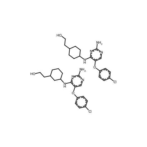 Nc1ncc(Oc2ccc(Cl)cc2)c(NC2CCC(CCO)CC2)n1.Nc1ncc(Oc2ccc(Cl)cc2)c(NC2CCCC(CCO)C2)n1